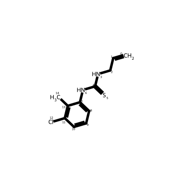 C=CCNC(=S)Nc1cccc(Cl)c1C